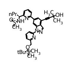 CCC[C@H](N[S+](C)[O-])c1cccc(-c2cc(C#CC(C)(C)O)c3cnn(-c4cccc(CO[Si](C)(C)C(C)(C)C)n4)c3c2)n1